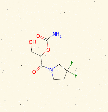 NC(=O)OC(CO)C(=O)N1CCC(F)(F)C1